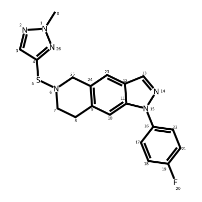 Cn1ncc(SN2CCc3cc4c(cnn4-c4ccc(F)cc4)cc3C2)n1